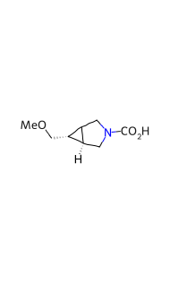 COC[C@@H]1C2CN(C(=O)O)C[C@H]21